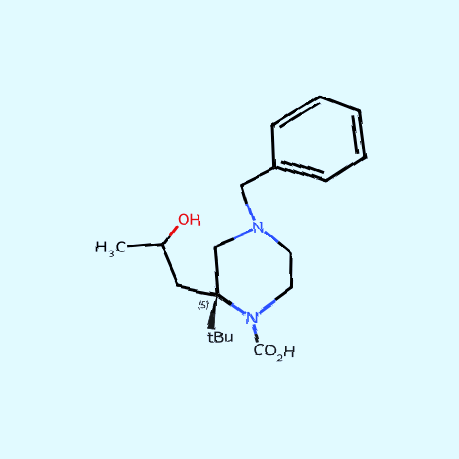 CC(O)C[C@]1(C(C)(C)C)CN(Cc2ccccc2)CCN1C(=O)O